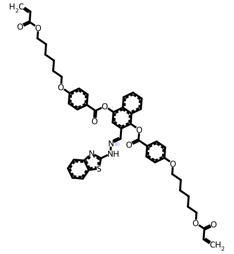 C=CC(=O)OCCCCCCOc1ccc(C(=O)Oc2cc(/C=N/Nc3nc4ccccc4s3)c(OC(=O)c3ccc(OCCCCCCOC(=O)C=C)cc3)c3ccccc23)cc1